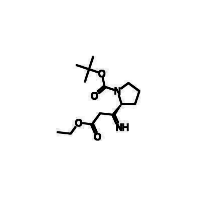 CCOC(=O)CC(=N)[C@@H]1CCCN1C(=O)OC(C)(C)C